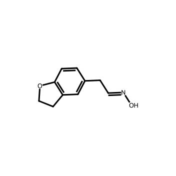 ON=CCc1ccc2c(c1)CCO2